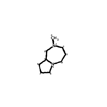 CN1CCCN2CCCC2C1